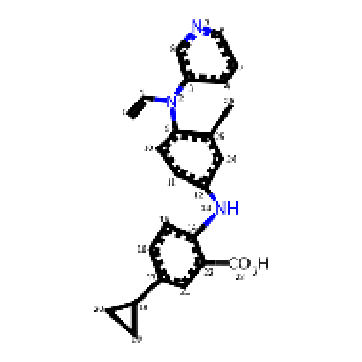 C=CN(c1cccnc1)c1ccc(Nc2ccc(C3CC3)cc2C(=O)O)cc1C